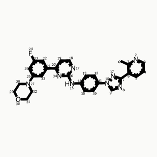 Cc1ncccc1-c1ncn(-c2ccc(Nc3nccc(-c4cc(F)cc(N5CCOCC5)c4)n3)cc2)n1